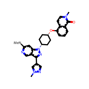 CNc1cc2c(cn1)c(-c1cnn(C)c1)nn2[C@H]1CC[C@@H](Oc2cccc3c(=O)n(C)ccc23)CC1